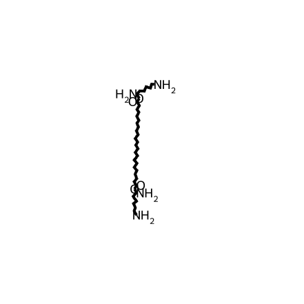 NCCCCCC(N)OC(=O)CCCCCCCCCCCCCCCCCCCCCCC(=O)OC(N)CCCCCN